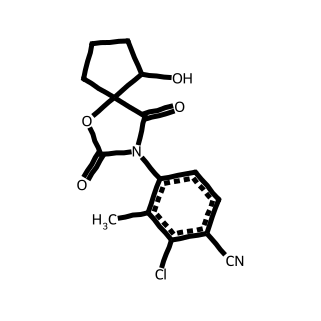 Cc1c(N2C(=O)OC3(CCCC3O)C2=O)ccc(C#N)c1Cl